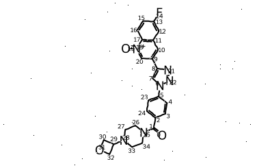 O=C(c1ccc(-n2cc(-c3cc4cc(F)ccc4[n+]([O-])c3)nn2)cc1)N1CCN(C2COC2)CC1